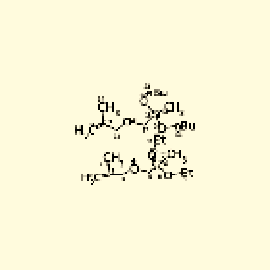 C=C(C)COC[Si](C)(OCC)OCC.C=C(C)COC[Si](C)(OCCCC)OCCCC